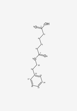 O=C(O)CCCCC(=O)OCCc1ccccc1